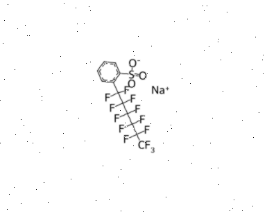 O=S(=O)([O-])c1ccccc1C(F)(F)C(F)(F)C(F)(F)C(F)(F)C(F)(F)C(F)(F)F.[Na+]